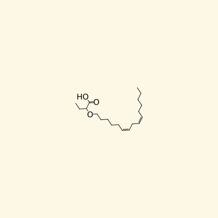 CCCCC/C=C\C/C=C\CCCCCOC(CC)C(=O)O